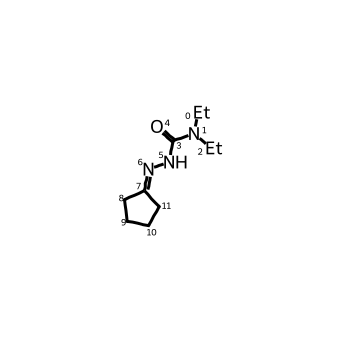 CCN(CC)C(=O)NN=C1CCCC1